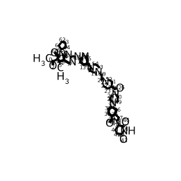 CC(=O)c1c(C)c2cnc(Nc3ccc(N4CCN(CCN5CCC(C(=O)N6CCN(c7ccc8c(c7)CN([C@H]7CCC(=O)NC7=O)C8=O)CC6)CC5)CC4)cn3)nc2n(C2CCCC2)c1=O